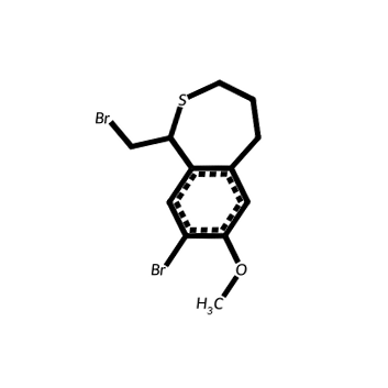 COc1cc2c(cc1Br)C(CBr)SCCC2